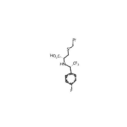 CC(C)CSC[C@H](N[C@@H](c1ccc(F)cc1)C(F)(F)F)C(=O)O